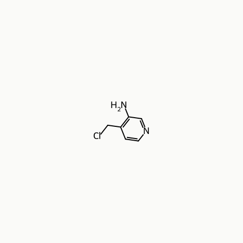 Nc1cnccc1CCl